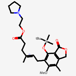 COc1c(C)c2c(c(O[Si](C)(C)C(C)(C)C)c1C/C=C(\C)CCC(=O)OCCN1CCCC1)C(=O)OC2